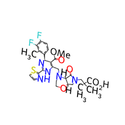 COC(=O)C1=C(CN2CCO[C@H]3CN(CC(C)(C)C(=O)O)C(=O)[C@H]32)NC(c2nccs2)=N[C@H]1c1ccc(F)c(F)c1C